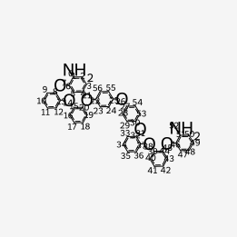 Nc1ccccc1Oc1ccccc1Oc1ccccc1Oc1ccc(Oc2ccc(Oc3ccccc3Oc3ccccc3Oc3ccccc3N)cc2)cc1